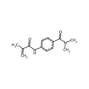 C=C(C)C(=O)Nc1ccc(C(=O)N(C)C)cc1